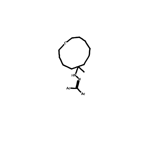 CC(=O)C(=NNC1(C)CCCCCCCCCCC1)C(C)=O